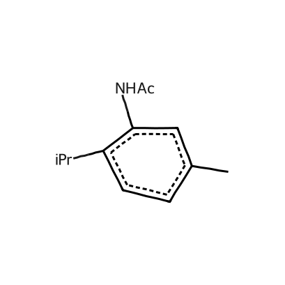 CC(=O)Nc1cc(C)ccc1C(C)C